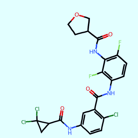 O=C(Nc1ccc(F)c(NC(=O)C2CCOC2)c1F)c1cc(NC(=O)C2CC2(Cl)Cl)ccc1Cl